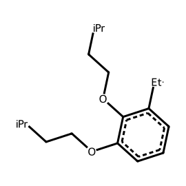 C[CH]c1cccc(OCCC(C)C)c1OCCC(C)C